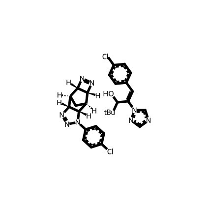 CC(C)(C)C(O)/C(=C\c1ccc(Cl)cc1)n1cncn1.Clc1ccc(N2N=N[C@@H]3[C@@H]4C[C@@H]([C@H]5N=N[C@@H]45)[C@@H]32)cc1